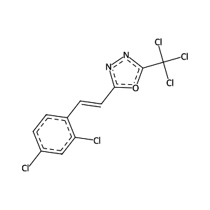 Clc1ccc(C=Cc2nnc(C(Cl)(Cl)Cl)o2)c(Cl)c1